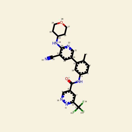 Cc1ccc(NC(=O)c2cnnc(C(F)(F)F)c2)cc1-c1cnc(NC2CCOCC2)c(C#N)c1